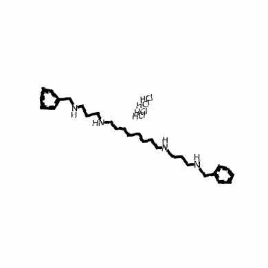 Cl.Cl.Cl.Cl.c1ccc(CNCCCNCCCCCCCCNCCCNCc2ccccc2)cc1